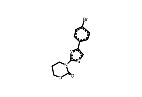 O=C1OCCCN1c1nc(-c2ccc(Br)cc2)cs1